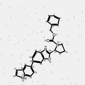 O=C(OCc1ccccc1)N1CCC[C@H]1c1nc2ccc(-c3ccc4[nH]ccc4c3)cc2o1